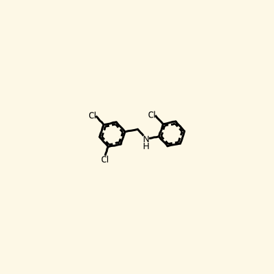 Clc1cc(Cl)cc(CNc2ccccc2Cl)c1